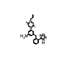 C=CCN1C[C@H](C)N(c2cc(N)cc(Cc3ccccc3-c3nnn[nH]3)c2)C[C@H]1C